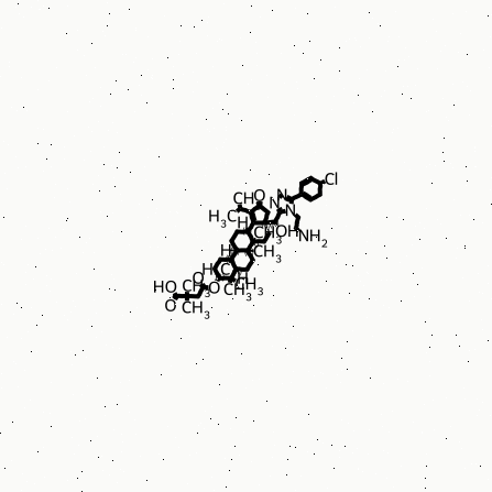 CC(C)C1=C2[C@H]3CC[C@@H]4[C@@]5(C)CC[C@H](OC(=O)CC(C)(C)C(=O)O)C(C)(C)[C@@H]5CC[C@@]4(C)[C@]3(C)CC[C@@]2([C@@H](O)c2nnc(C3=CCC(Cl)C=C3)n2CCN)CC1=O